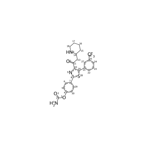 NC(=O)Oc1ccc(-c2nc(C(=O)[CH]C3CCCCN3)c(-c3cccc(C(F)(F)F)c3)s2)cc1